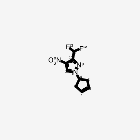 O=[N+]([O-])c1cn(C2CC=CC2)nc1C(F)F